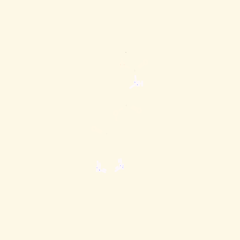 CC(C)(C)OC(=O)NCC(=O)OCC(=O)c1cnc(Cl)nc1